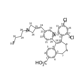 O=C(O)c1ccc2c(c1)CCCC(c1ccc(Cl)cc1Cl)=C2c1ccc(C=C2CN(CCCF)C2)cn1